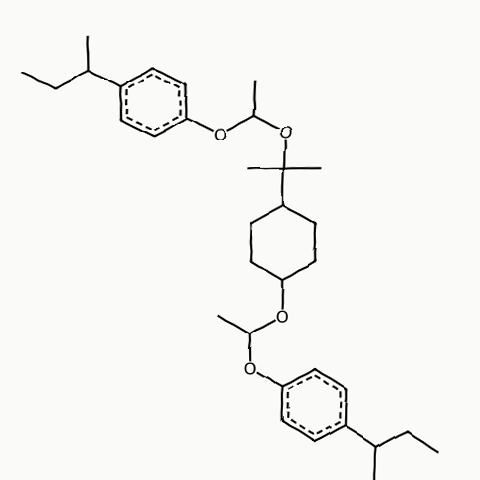 CCC(C)c1ccc(OC(C)OC2CCC(C(C)(C)OC(C)Oc3ccc(C(C)CC)cc3)CC2)cc1